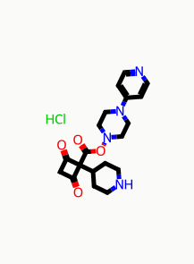 Cl.O=C1CC(=O)C1(C(=O)ON1CCN(c2ccncc2)CC1)C1CCNCC1